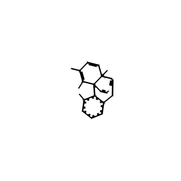 [2H]C1=C2Oc3cccc4c3C23C=CN=C(C4)C3([2H])C=C1